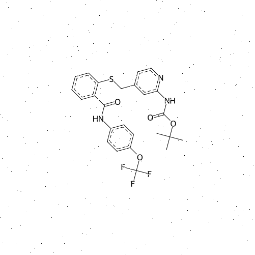 CC(C)(C)OC(=O)Nc1cc(CSc2ccccc2C(=O)Nc2ccc(OC(F)(F)F)cc2)ccn1